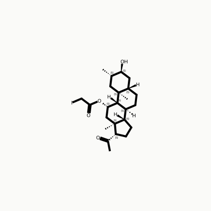 CC(=O)[C@H]1CC[C@H]2[C@@H]3CC[C@H]4C[C@H](O)[C@@H](C)C[C@]4(C)[C@H]3[C@@H](OC(=O)CI)C[C@]12C